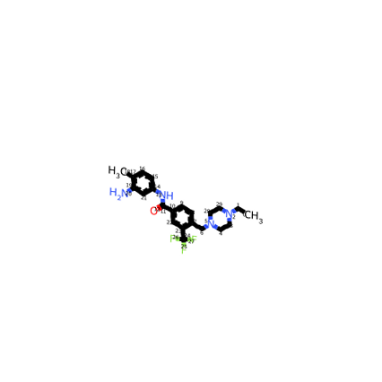 CCN1CCN(Cc2ccc(C(=O)Nc3ccc(C)c(N)c3)cc2C(F)(F)F)CC1